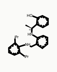 CC(C)c1cccc(C(C)C)c1NCc1ccccc1N[C@@H](C)c1ccccc1O